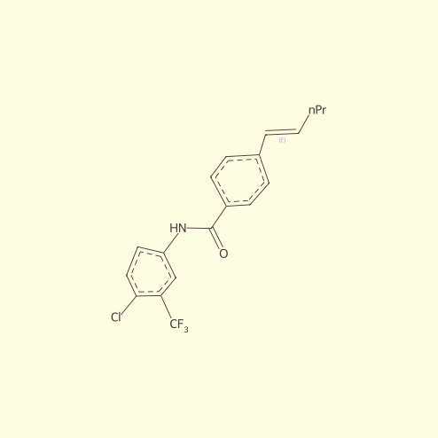 CCC/C=C/c1ccc(C(=O)Nc2ccc(Cl)c(C(F)(F)F)c2)cc1